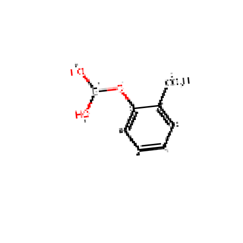 O=C(O)c1ccccc1OB(O)O